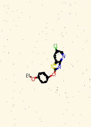 [CH2]COc1ccc(Oc2nc3ncc(Cl)cc3s2)cc1